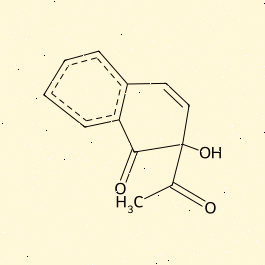 CC(=O)C1(O)C=Cc2ccccc2C1=O